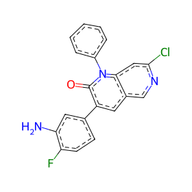 Nc1cc(-c2cc3cnc(Cl)cc3n(-c3ccccc3)c2=O)ccc1F